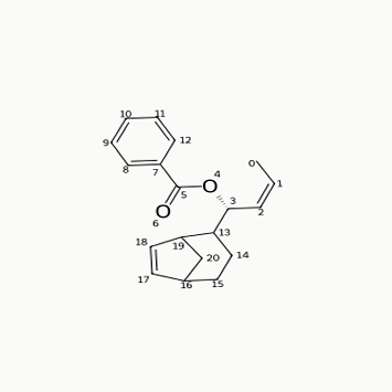 C/C=C\[C@@H](OC(=O)c1ccccc1)C1CCC2C=CC1C2